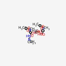 CCN(CC)CCNC(=O)c1ccc(N(C)S(=O)(=O)c2ccc(C)cc2)cc1OCOC.COCOc1cc(N(C)S(=O)(=O)c2ccc(C)cc2)ccc1C(=O)O